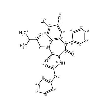 CC(C)C(=O)CN1C(=O)C(NC(=O)Oc2ccccc2)C(=O)N(c2ccccc2)c2cc(Cl)c(Cl)cc21